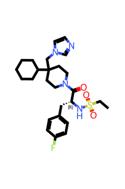 CCS(=O)(=O)N[C@H](Cc1ccc(F)cc1)C(=O)N1CCC(Cn2ccnc2)(C2CCCCC2)CC1